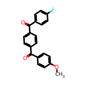 COc1ccc(C(=O)c2ccc(C(=O)c3ccc(F)cc3)cc2)cc1